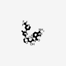 Cc1cc(N2CCOC([C@@H](O)c3nc(=O)c4c(ccc5c(N)nsc54)[nH]3)C2=O)nn1-c1ccnc(C(F)(F)F)c1